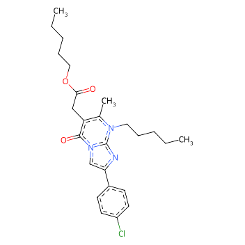 CCCCCOC(=O)Cc1c(C)n(CCCCC)c2nc(-c3ccc(Cl)cc3)cn2c1=O